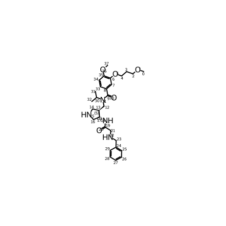 COCCCOc1cc(C(=O)N(C[C@@H]2CNC[C@H]2NC(=O)CNCc2ccccc2)C(C)C)ccc1OC